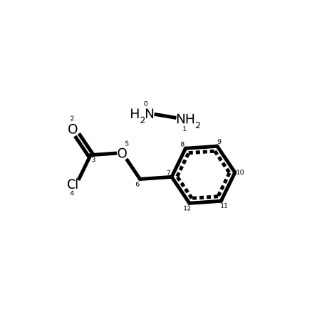 NN.O=C(Cl)OCc1ccccc1